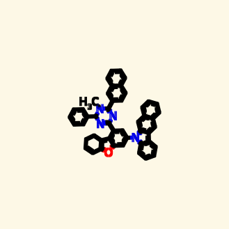 CN1C(c2ccc3ccccc3c2)=NC(c2cc(-n3c4ccccc4c4cc5ccccc5cc43)cc3oc4c(c23)CCC=C4)=NC1c1ccccc1